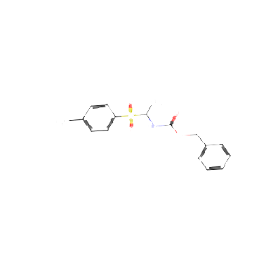 Cc1ccc(S(=O)(=O)C(C)NC(=O)OCc2ccccc2)cc1